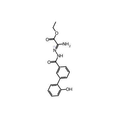 CCOC(=O)/C(N)=N/NC(=O)c1cccc(-c2ccccc2O)c1